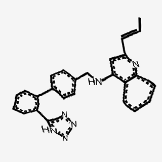 CC=Cc1cc(NCc2ccc(-c3ccccc3-c3nnn[nH]3)cc2)c2ccccc2n1